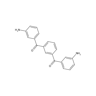 Nc1cccc(C(=O)c2cccc(C(=O)c3cccc(N)c3)c2)c1